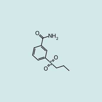 CCCS(=O)(=O)c1cccc(C(N)=O)c1